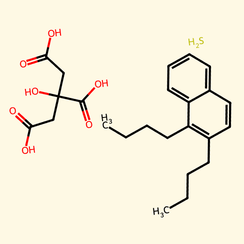 CCCCc1ccc2ccccc2c1CCCC.O=C(O)CC(O)(CC(=O)O)C(=O)O.S